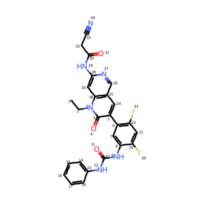 CCn1c(=O)c(-c2cc(NC(=O)Nc3ccccc3)c(F)cc2F)cc2cnc(NC(=O)CC#N)cc21